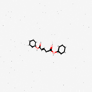 O=C(C=CCC(=O)OC1CCCCC1)OC1CCCCC1